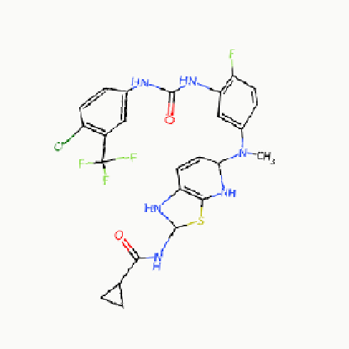 CN(c1ccc(F)c(NC(=O)Nc2ccc(Cl)c(C(F)(F)F)c2)c1)C1C=CC2=C(N1)SC(NC(=O)C1CC1)N2